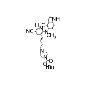 Cc1c(N(C)c2ncc(C#N)cc2/C=C/CCN2CCN(C(=O)OC(C)(C)C)CC2)ccc2[nH]ccc12